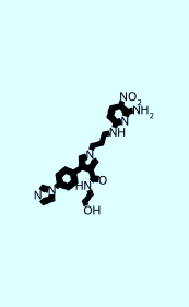 Nc1nc(NCCCn2cc(C(=O)NCCO)c(-c3ccc(-n4ccnc4)cc3)c2)ccc1[N+](=O)[O-]